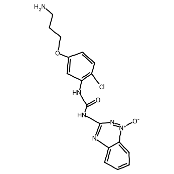 NCCCOc1ccc(Cl)c(NC(=O)Nc2nc3ccccc3[n+]([O-])n2)c1